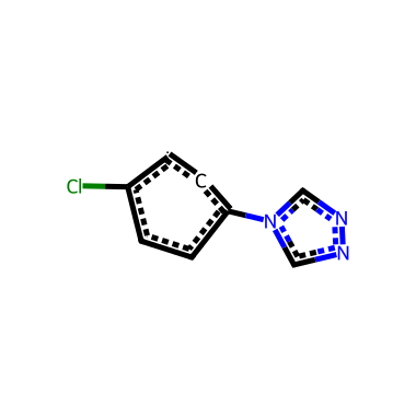 Clc1[c]cc(-n2cnnc2)cc1